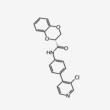 O=C(Nc1ccc(-c2ccncc2Cl)cc1)[C@H]1COc2ccccc2O1